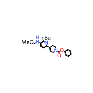 CCCCc1nc(C2=CCN(C(=O)Oc3ccccc3)CC2)ccc1NCOC